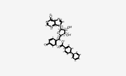 O=C(O[C@H](c1ccc(Cl)cc1)[C@H]1O[C@@H](n2cnc3c(Cl)ncnc32)[C@H](O)[C@@H]1O)c1ccc(-c2ccccc2)cc1